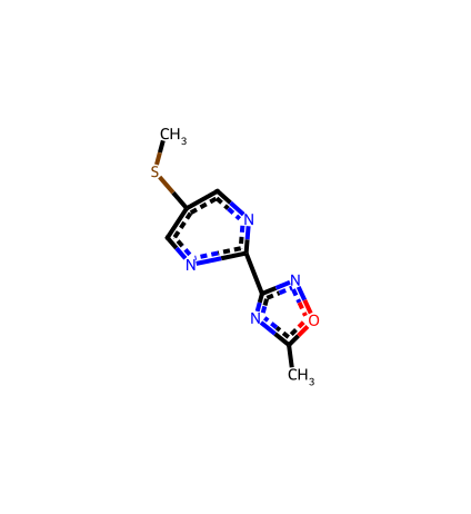 CSc1cnc(-c2noc(C)n2)nc1